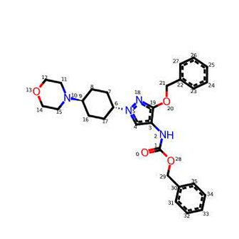 O=C(Nc1cn([C@H]2CC[C@H](N3CCOCC3)CC2)nc1OCc1ccccc1)OCc1ccccc1